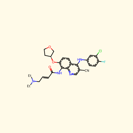 CCN(CC)C/C=C/C(=O)Nc1c(O[C@H]2CCOC2)ccc2c(Nc3ccc(F)c(Cl)c3)c(C#N)cnc12